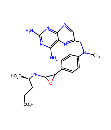 CN(Cc1cnc2nc(N)nc(N)c2n1)c1ccc(C2OC2N[C@@H](CCC(=O)O)C(=O)O)cc1